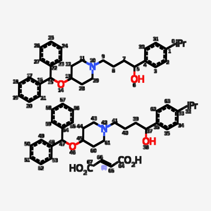 CC(C)c1ccc(C(O)CCCN2CCC(OC(c3ccccc3)c3ccccc3)CC2)cc1.CC(C)c1ccc(C(O)CCCN2CCC(OC(c3ccccc3)c3ccccc3)CC2)cc1.O=C(O)/C=C/C(=O)O